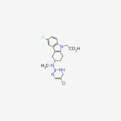 CN(C1=NC=C(Cl)CN1)C1CCc2c(c3cc(F)ccc3n2CC(=O)O)C1